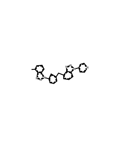 Cc1cccc2c1nnn2-c1cccc(Cc2cccc3c2nnn3-c2ccncc2)c1